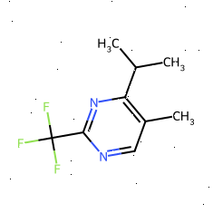 Cc1cnc(C(F)(F)F)nc1C(C)C